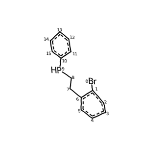 Brc1ccccc1CCPc1ccccc1